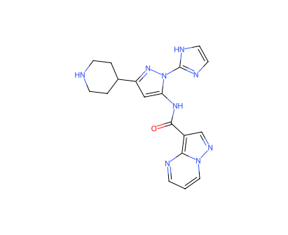 O=C(Nc1cc(C2CCNCC2)nn1-c1ncc[nH]1)c1cnn2cccnc12